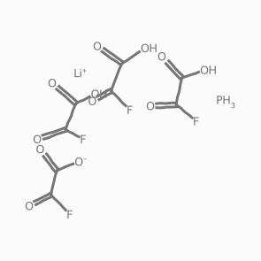 O=C(O)C(=O)F.O=C(O)C(=O)F.O=C(O)C(=O)F.O=C([O-])C(=O)F.P.[Li+]